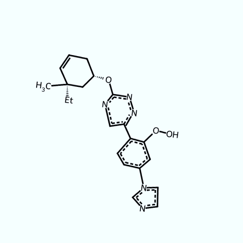 CC[C@]1(C)C=CC[C@H](Oc2ncc(-c3ccc(-n4ccnc4)cc3OO)nn2)C1